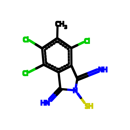 Cc1c(Cl)c(Cl)c2c(c1Cl)C(=N)N(S)C2=N